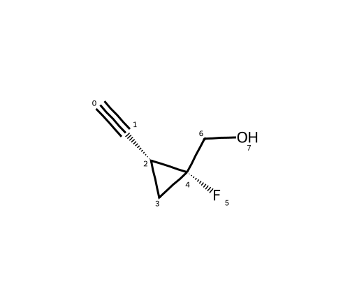 C#C[C@H]1C[C@]1(F)CO